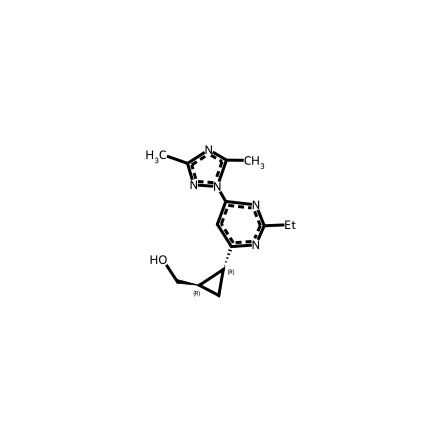 CCc1nc([C@@H]2C[C@H]2CO)cc(-n2nc(C)nc2C)n1